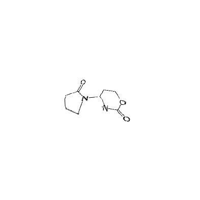 O=C1[N]C(N2CCCC2=O)CCO1